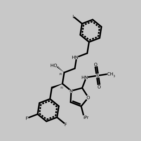 CC(C)C1=CN([C@@H](Cc2cc(F)cc(F)c2)[C@H](O)CNCc2cccc(I)c2)C(NS(C)(=O)=O)O1